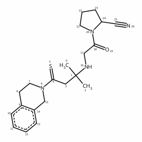 CC(C)(CC(=S)N1CCc2ccccc2C1)NCC(=O)N1CCCC1C#N